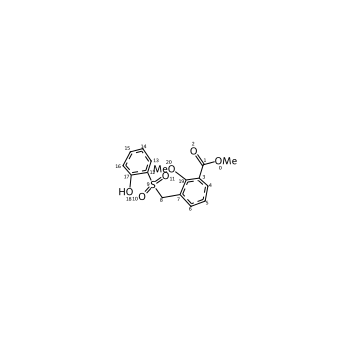 COC(=O)c1cccc(CS(=O)(=O)c2ccccc2O)c1OC